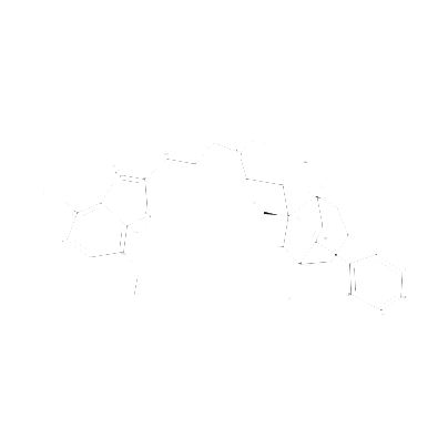 COc1ccc(C)c2nc(CCCN(C)CC[C@@]3(O)C[C@@H]4CCC[C@H]3C=C4c3ccccc3)[nH]c12